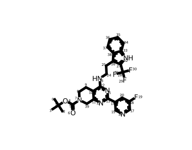 CC(C)(C)OC(=O)N1CCc2c(nc(-c3cncc(F)c3)nc2NCCc2c(C(F)(F)F)[nH]c3ccccc23)C1